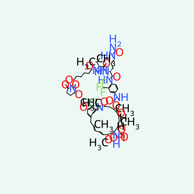 COc1cc2cc(c1Cl)N(C)C(=O)C[C@H](OC(=O)Nc1ccc(NC(=O)[C@H](CCCNC(N)=O)NC(=O)[C@@H](NC(=O)CCCCC(=O)ON3C(=O)CCC3=O)C(C)C)c(C(F)(F)F)c1)[C@]1(C)O[C@H]1[C@H](C)[C@@H]1C[C@@](O)(NC(=O)O1)[C@H](OC)/C=C/C=C(\C)C2